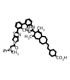 CC1=CC2CCC(CCC3CCC(C(=O)O)CC3)CCC2CC(C)C1C(=O)Nc1cccc(-c2cccc(-c3nc4c(s3)CN(C(=O)CN(C)C(C)C)C4)c2C)c1Cl